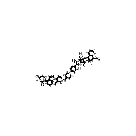 CC1(C)C(NC(=O)c2ccc(N3CCC(CN4CC[C@@H](n5ncc6c(N7CCC(=O)NC7=O)cccc65)[C@@H](F)C4)CC3)c(F)c2)C(C)(C)C1Oc1ccc(C#N)c2ncccc12